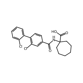 O=C(NC1(C(=O)O)CCCCCC1)c1ccc(-c2ccccc2Cl)c(Cl)c1